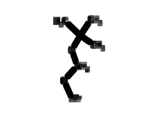 CCCO[SiH2]OC(C)(C)C